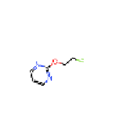 FCCOc1nc[c]cn1